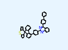 c1ccc(-c2ccc(-c3nc(-c4ccc(-c5cccc6c5-c5ccccc5C65c6ccccc6Sc6ccccc65)cc4)nc4ccccc34)cc2)cc1